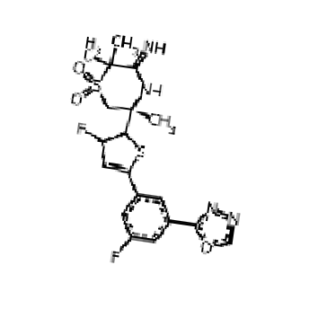 CC1(C)C(=N)N[C@](C)(C2SC(c3cc(F)cc(-c4nnco4)c3)=CC2F)CS1(=O)=O